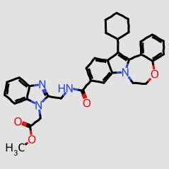 COC(=O)Cn1c(CNC(=O)c2ccc3c(C4CCCCC4)c4n(c3c2)CCOc2ccccc2-4)nc2ccccc21